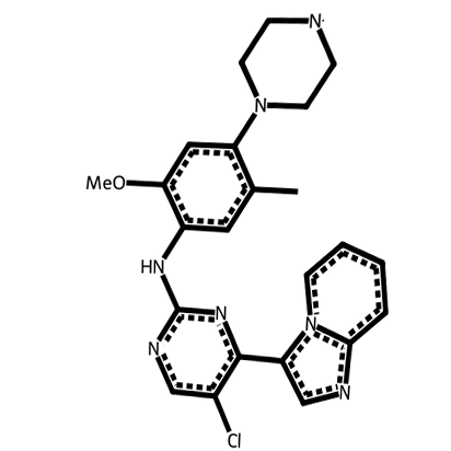 COc1cc(N2CC[N]CC2)c(C)cc1Nc1ncc(Cl)c(-c2cnc3ccccn23)n1